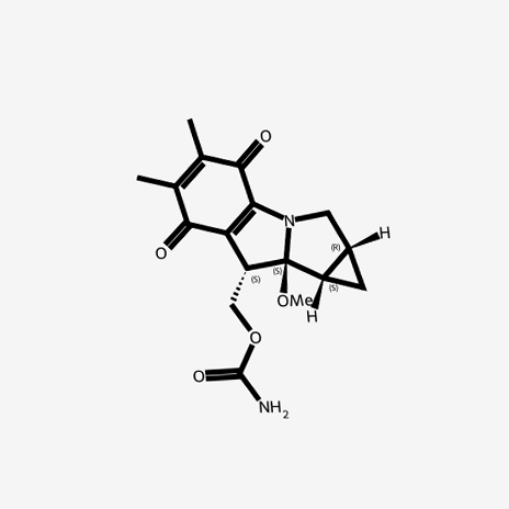 CO[C@@]12[C@H](COC(N)=O)C3=C(C(=O)C(C)=C(C)C3=O)N1C[C@@H]1C[C@@H]12